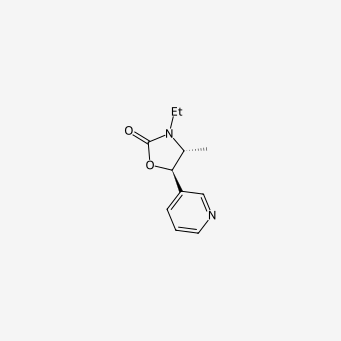 CCN1C(=O)O[C@H](c2cccnc2)[C@H]1C